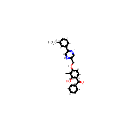 Cc1c(OCc2cnc(-c3cccc(C(=O)O)c3)cn2)ccc(C(=O)c2ccccc2)c1O